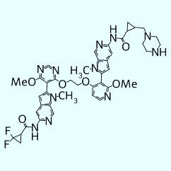 COc1nccc(OCCOc2ncnc(OC)c2-c2cc3cc(NC(=O)C4CC4(F)F)ncc3n2C)c1-c1cc2cc(NC(=O)C3CC3CN3CCNCC3)ncc2n1C